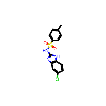 Cc1ccc(S(=O)(=O)Nc2nc3cc(Cl)ccc3[nH]2)cc1